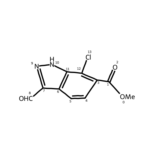 COC(=O)c1ccc2c(C=O)n[nH]c2c1Cl